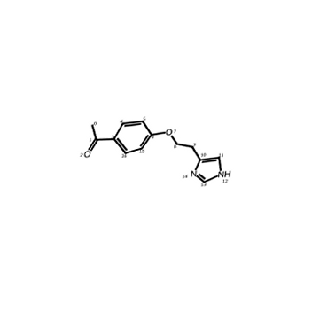 CC(=O)c1ccc(OCCc2c[nH]cn2)cc1